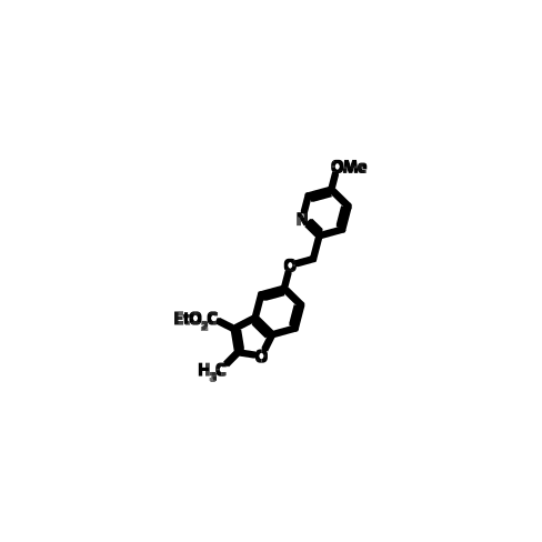 CCOC(=O)c1c(C)oc2ccc(OCc3ccc(OC)cn3)cc12